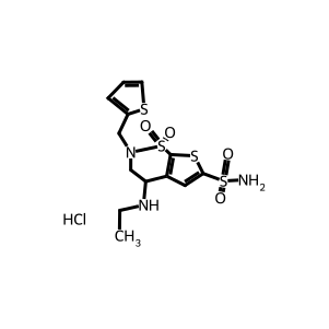 CCNC1CN(Cc2cccs2)S(=O)(=O)c2sc(S(N)(=O)=O)cc21.Cl